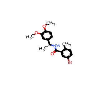 COc1ccc([C@@H](C)NC(=O)c2cc(Br)ccc2C)cc1OC